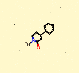 [2H]n1ccc(-c2ccccc2)cc1=O